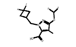 Cc1c(OC(F)F)nn(CC2CC(F)(F)C2)c1C(=O)O